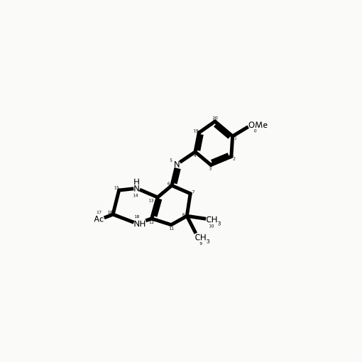 COc1ccc(/N=C2\CC(C)(C)CC3=C2NCC(C(C)=O)N3)cc1